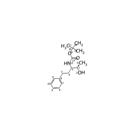 C[C@@H](O)C(CCc1ccccc1)NC(=O)OC(C)(C)C